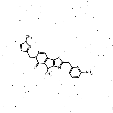 Cn1ccc(Cn2ncc3c4sc(Cc5cccc(N)n5)nc4n(C)c3c2=O)n1